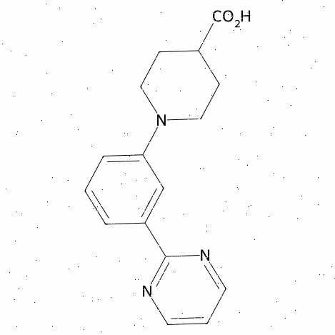 O=C(O)C1CCN(c2cccc(-c3ncccn3)c2)CC1